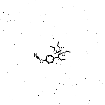 CCO[Si](OCC)(OCC)C(CC)c1ccc(OC#N)cc1